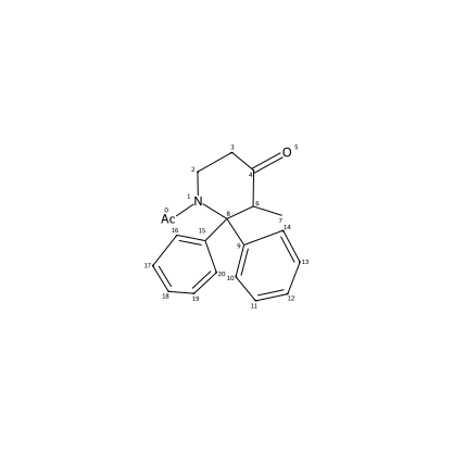 CC(=O)N1CCC(=O)C(C)C1(c1ccccc1)c1ccccc1